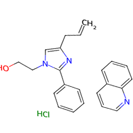 C=CCc1cn(CCO)c(-c2ccccc2)n1.Cl.c1ccc2ncccc2c1